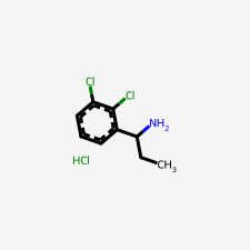 CCC(N)c1cccc(Cl)c1Cl.Cl